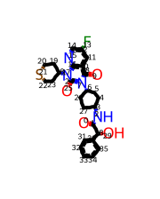 O=C(NC1CCC(n2c(=O)c3cc(F)cnc3n(C3CCSCC3)c2=O)CC1)C(O)c1ccccc1